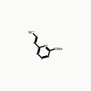 COc1cccc(/C=C/C#N)n1